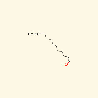 CCCCCCCCCCCCCCC/C=C\O